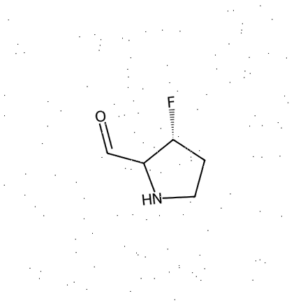 O=CC1NCC[C@H]1F